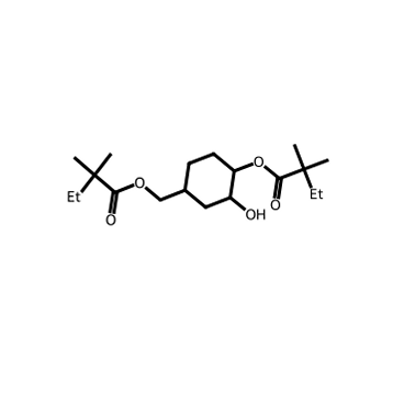 CCC(C)(C)C(=O)OCC1CCC(OC(=O)C(C)(C)CC)C(O)C1